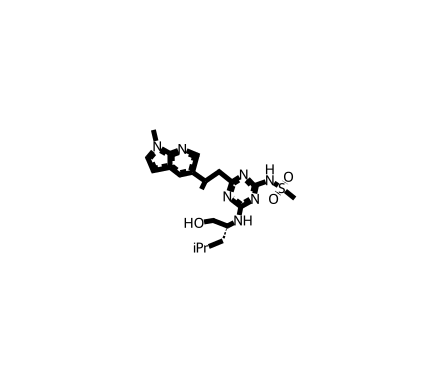 CC(C)C[C@H](CO)Nc1nc(CC(C)c2cnc3c(ccn3C)c2)nc(NS(C)(=O)=O)n1